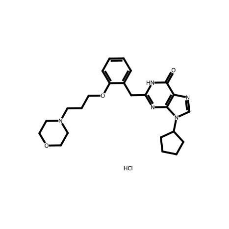 Cl.O=c1[nH]c(Cc2ccccc2OCCCN2CCOCC2)nc2c1ncn2C1CCCC1